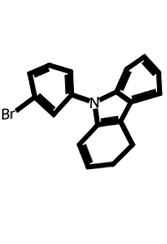 Brc1cccc(-n2c3c(c4ccccc42)CCC=C3)c1